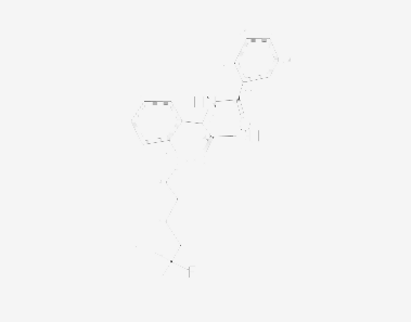 O=C(NC(C(=O)O)c1ccccc1OCCCCC(F)(F)F)c1ccccc1